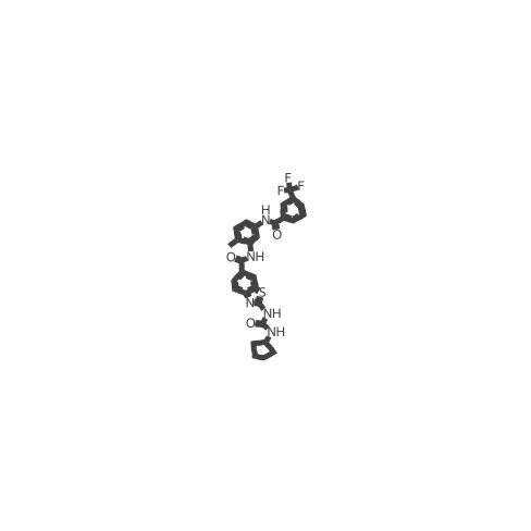 Cc1ccc(NC(=O)c2cccc(C(F)(F)F)c2)cc1NC(=O)c1ccc2nc(NC(=O)NC3CCCC3)sc2c1